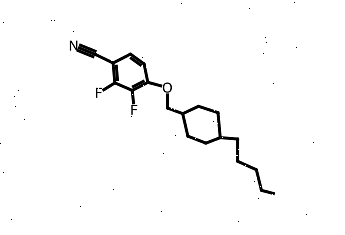 CCCCCC1CCC(COc2ccc(C#N)c(F)c2F)CC1